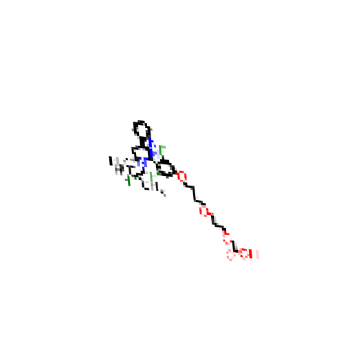 C[C@@H]1Cc2c([nH]c3ccccc23)[C@@H](c2c(F)cc(OCCCCOCCCOCC(=O)O)cc2F)N1CC(C)(C)F